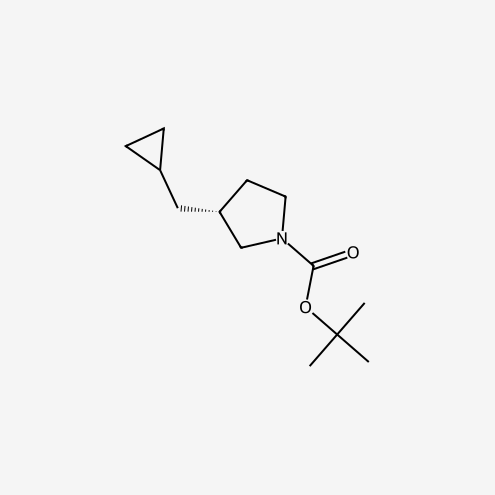 CC(C)(C)OC(=O)N1CC[C@@H](CC2CC2)C1